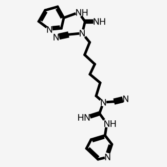 N#CN(CCCCCCN(C#N)C(=N)Nc1cccnc1)C(=N)Nc1cccnc1